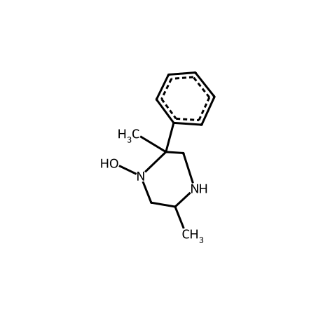 CC1CN(O)C(C)(c2ccccc2)CN1